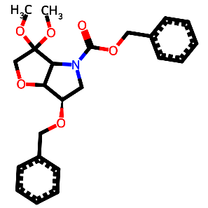 COC1(OC)COC2C1N(C(=O)OCc1ccccc1)C[C@H]2OCc1ccccc1